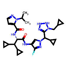 CC(C)n1nccc1C(=O)N[C@H](C(=O)Nc1cn(C(C2=NNNN2CC2CC2)C2CC2)nc1F)C(C1CC1)C1CC1